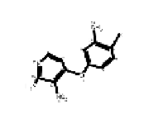 Cc1ccc(Oc2ccnc(N)c2[N+](=O)[O-])cc1N